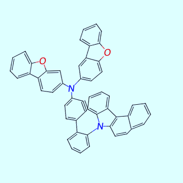 c1c(-c2ccccc2-n2c3ccccc3c3c4ccccc4ccc32)ccc(N(c2ccc3c(c2)oc2ccccc23)c2ccc3oc4ccccc4c3c2)c#1